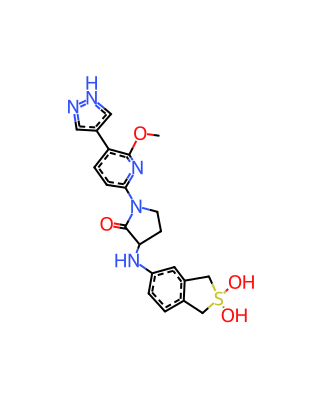 COc1nc(N2CCC(Nc3ccc4c(c3)CS(O)(O)C4)C2=O)ccc1-c1cn[nH]c1